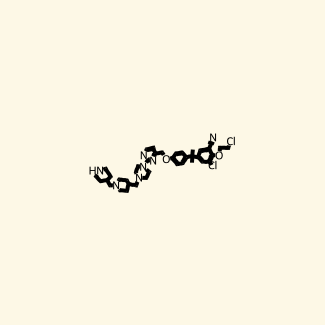 CC(C)(c1ccc(OCc2ccnc(N3CCN(CC4CCN(CC5CCNCC5)CC4)CC3)n2)cc1)c1cc(Cl)c(OCCCl)c(C#N)c1